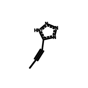 CC#Cc1nnn[nH]1